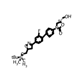 CC(C)(C)[Si](C)(C)OCC1CC(c2ccc(-c3ccc(N4C[C@H](CO)OC4=O)cc3)c(F)c2)=NO1